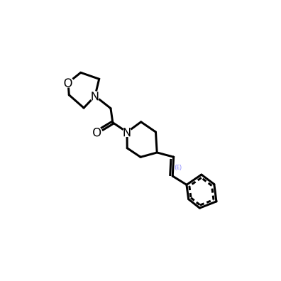 O=C(CN1CCOCC1)N1CCC(/C=C/c2ccccc2)CC1